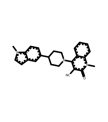 Cn1ccc2cc(C3CCN(c4c(C#N)c(=O)n(C)c5ccccc45)CC3)ccc21